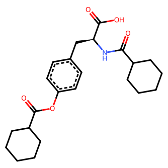 O=C(N[C@@H](Cc1ccc(OC(=O)C2CCCCC2)cc1)C(=O)O)C1CCCCC1